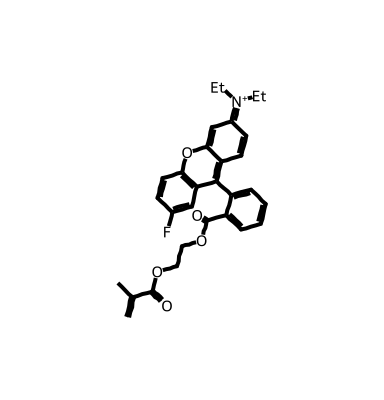 C=C(C)C(=O)OCCOC(=O)c1ccccc1-c1c2ccc(=[N+](CC)CC)cc-2oc2ccc(F)cc12